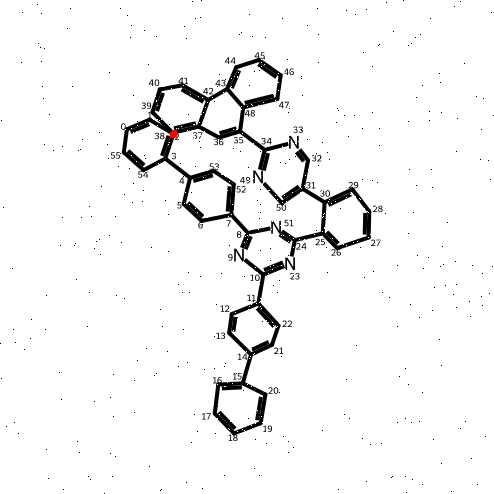 c1ccc(-c2ccc(-c3nc(-c4ccc(-c5ccccc5)cc4)nc(-c4ccccc4-c4cnc(-c5cc6ccccc6c6ccccc56)nc4)n3)cc2)cc1